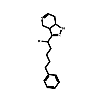 OC(CCCCc1ccccc1)C1=NNC2CC=NCC12